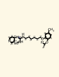 Cc1ccc(OC(F)F)c(OCCCCCCN/C(=N/c2ccncc2)NC#N)c1